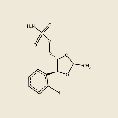 CC1O[C@@H](COS(N)(=O)=O)[C@H](c2ccccc2I)O1